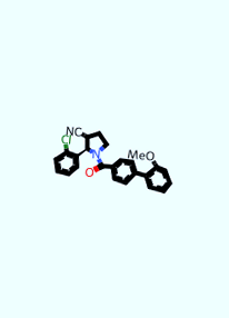 COc1ccccc1-c1ccc(C(=O)N2CCC(C#N)[C@@H]2c2ccccc2Cl)cc1